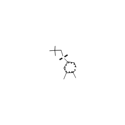 CC(C)(C)CS(=O)(=O)c1cnc(N)c(Br)c1